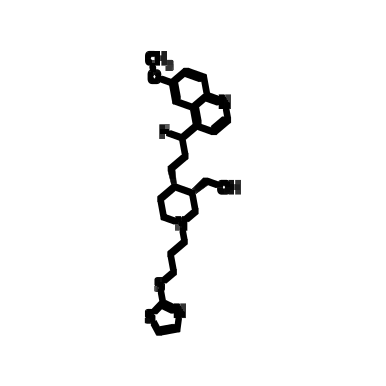 COc1ccc2nccc(C(F)CC[C@@H]3CCN(CCCSc4nccs4)C[C@@H]3CO)c2c1